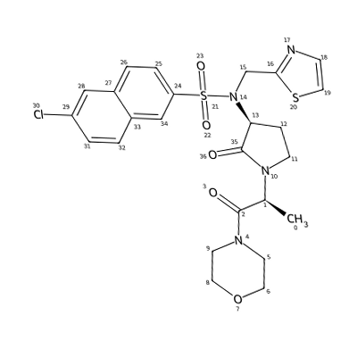 C[C@@H](C(=O)N1CCOCC1)N1CC[C@H](N(Cc2nccs2)S(=O)(=O)c2ccc3cc(Cl)ccc3c2)C1=O